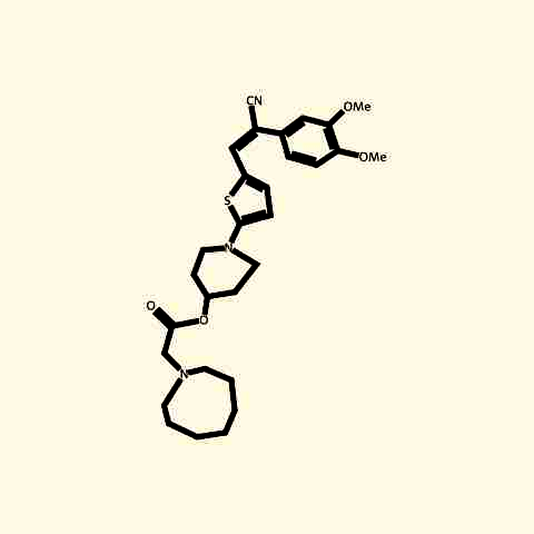 COc1ccc(C(C#N)=Cc2ccc(N3CCC(OC(=O)CN4CCCCCCC4)CC3)s2)cc1OC